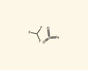 FC(F)F.O=[S](=O)=[Fe]